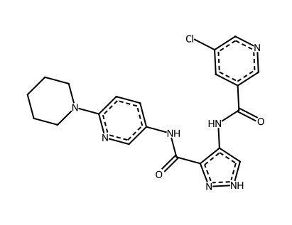 O=C(Nc1c[nH]nc1C(=O)Nc1ccc(N2CCCCC2)nc1)c1cncc(Cl)c1